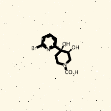 O=C(O)N1CC[C@](O)(c2cccc(Br)n2)[C@@H](O)C1